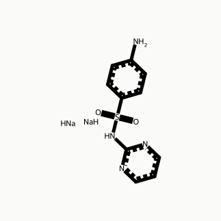 Nc1ccc(S(=O)(=O)Nc2ncccn2)cc1.[NaH].[NaH]